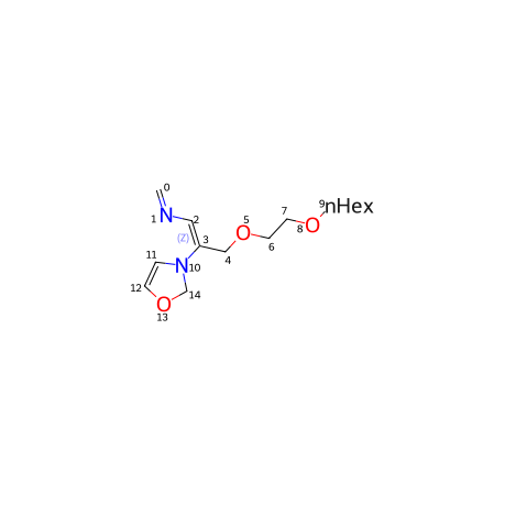 C=N/C=C(/COCCOCCCCCC)N1C=COC1